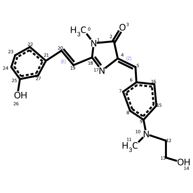 CN1C(=O)/C(=C/c2ccc(N(C)CCO)cc2)N=C1/C=C/c1cccc(O)c1